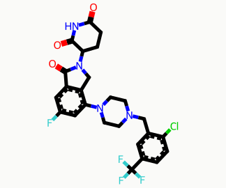 O=C1CCC(N2Cc3c(cc(F)cc3N3CCN(Cc4cc(C(F)(F)F)ccc4Cl)CC3)C2=O)C(=O)N1